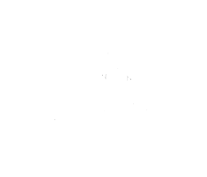 CCCCc1nc(SCCOC(C)=O)c(C(=O)O)[nH]1